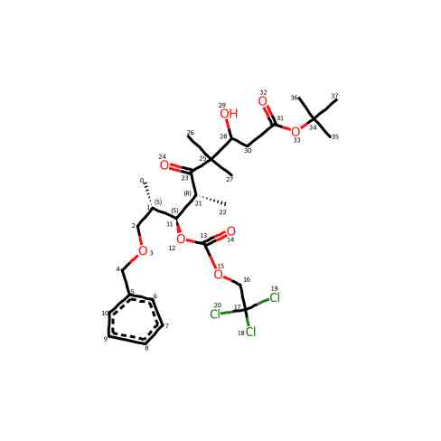 C[C@@H](COCc1ccccc1)[C@H](OC(=O)OCC(Cl)(Cl)Cl)[C@@H](C)C(=O)C(C)(C)C(O)CC(=O)OC(C)(C)C